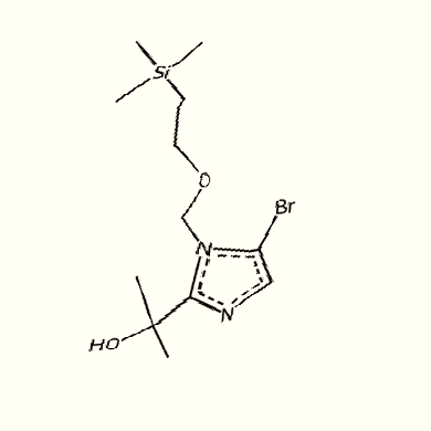 CC(C)(O)c1ncc(Br)n1COCC[Si](C)(C)C